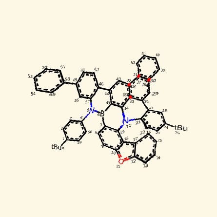 CC(C)(C)c1ccc(N2B3c4ccc5oc6ccccc6c5c4N(c4ccc(C(C)(C)C)cc4-c4ccccc4)c4cc(-c5ccccc5)cc(c43)-c3ccc(-c4ccccc4)cc32)cc1